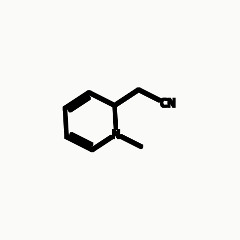 CN1C=CC=CC1CC#N